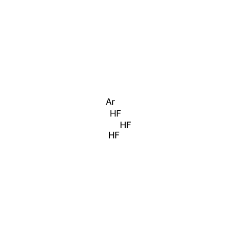 F.F.F.[Ar]